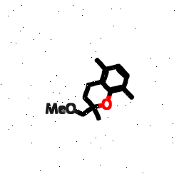 COCC1(C)CCc2c(C)ccc(C)c2O1